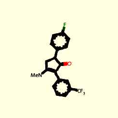 CNC1=C(c2cccc(C(F)(F)F)c2)C(=O)C(c2ccc(F)cc2)C1